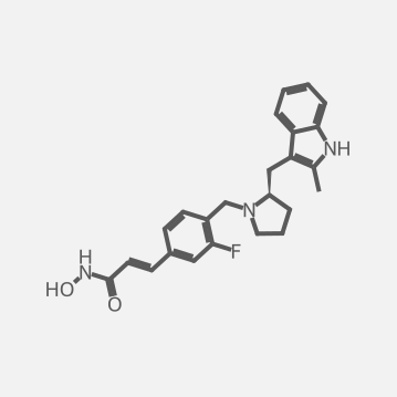 Cc1[nH]c2ccccc2c1C[C@H]1CCCN1Cc1ccc(/C=C/C(=O)NO)cc1F